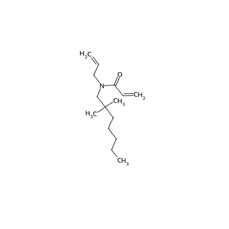 C=CCN(CC(C)(C)CCCCC)C(=O)C=C